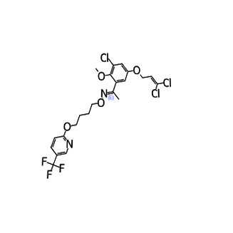 COc1c(Cl)cc(OCC=C(Cl)Cl)cc1/C(C)=N/OCCCCOc1ccc(C(F)(F)F)cn1